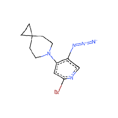 [N-]=[N+]=Nc1cnc(Br)cc1N1CCC2(CC1)CC2